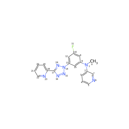 CN(c1cccnc1)c1cc(F)cc(-n2nnc(-c3ccccn3)n2)c1